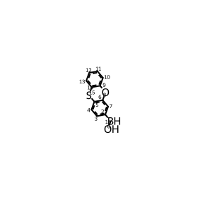 OBc1ccc2c(c1)Oc1ccccc1S2